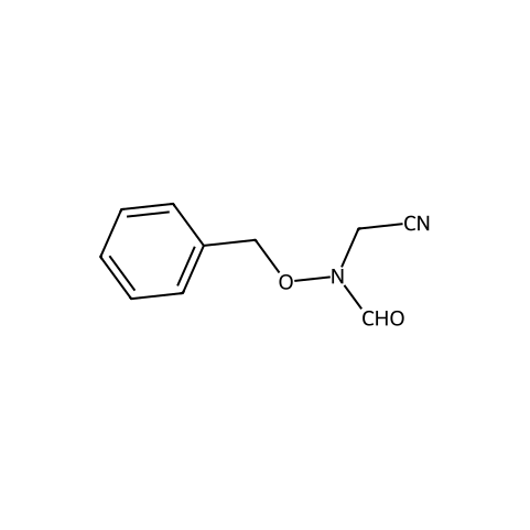 N#CCN(C=O)OCc1ccccc1